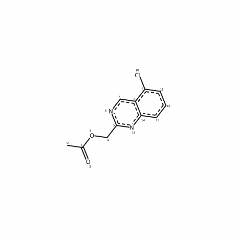 CC(=O)OCc1ncc2c(Cl)cccc2n1